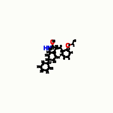 CCOc1ccccc1/C=C1/C(=O)Nc2cc(-c3ccccc3)ccc21